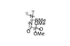 CNC(=NC(=O)P(=O)(OC)OC)N(C)C